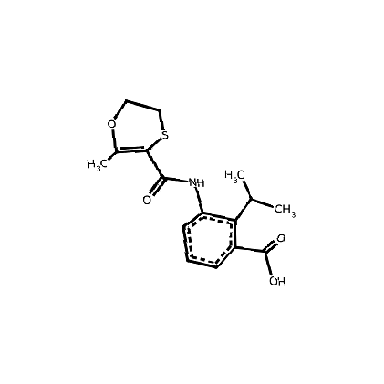 CC1=C(C(=O)Nc2cccc(C(=O)O)c2C(C)C)SCCO1